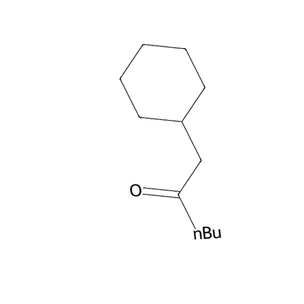 CCCCC(=O)CC1CCCCC1